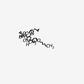 CCCCCCOc1ccc(C2(C)CC(c3ccn(CC4CC4)n3)=C(C(=O)NS(=O)(=O)C3CC3)C(=O)N2)cc1